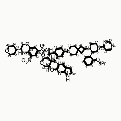 CC(C)Oc1ccccc1[C@@H]1CN(c2ccncn2)CCN1C1CC2(CCN(c3ccc(C(=O)NS(=O)(=O)c4cc5c(c([N+](=O)[O-])c4)N[C@H](C4CCOCC4)CO5)c(N4c5cc6cc[nH]c6nc5O[C@H]5COCC[C@@H]54)c3)CC2)C1